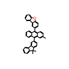 Cc1ccc2c(-c3ccc4oc5ccccc5c4c3)c3ccccc3c(-c3ccc4c(c3)-c3ccccc3C4(C)C)c2c1